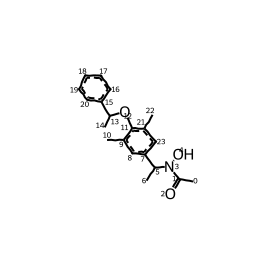 CC(=O)N(O)C(C)c1cc(C)c(OC(C)c2ccccc2)c(C)c1